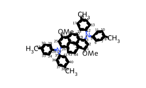 COc1cc(N(c2ccc(C)cc2)c2ccc(C)cc2)c2ccc3c(OC)cc(N(c4ccc(C)cc4)c4ccc(C)cc4)c4ccc1c2c34